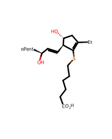 CCCCC[C@H](O)/C=C/[C@@H]1C(SCCCCCC(=O)O)=C(CC)C[C@H]1O